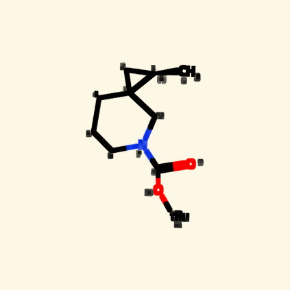 C[C@@H]1CC12CCCN(C(=O)OC(C)(C)C)C2